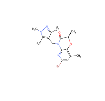 Cc1cc(Br)nc2c1O[C@H](C)C(=O)N2Cc1c(C)nn(C)c1C